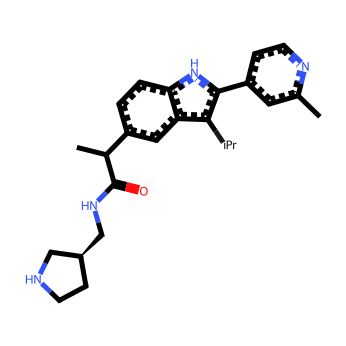 Cc1cc(-c2[nH]c3ccc(C(C)C(=O)NC[C@H]4CCNC4)cc3c2C(C)C)ccn1